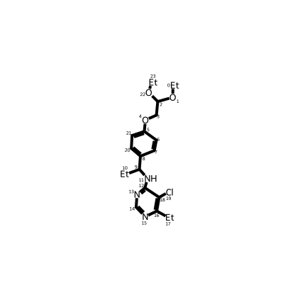 CCOC(COc1ccc(C(CC)Nc2ncnc(CC)c2Cl)cc1)OCC